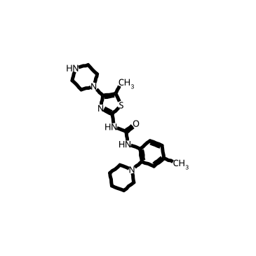 Cc1ccc(NC(=O)Nc2nc(N3CCNCC3)c(C)s2)c(N2CCCCC2)c1